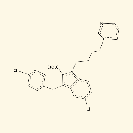 CCOC(=O)c1c(Cc2ccc(Cl)cc2)c2cc(Cl)ccc2n1CCCCc1cccnc1